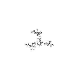 C=CCOc1ccc(-c2ccc(CCCOC(=O)C=C)c(OCCOC(=O)C(=C)COC)c2)cc1CC